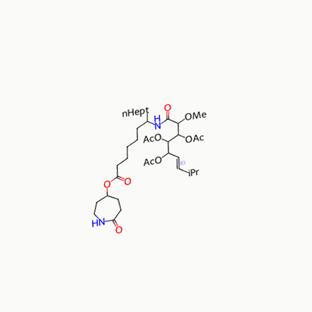 CCCCCCCC(CCCCCC(=O)OC1CCNC(=O)CC1)NC(=O)C(OC)C(OC(C)=O)C(OC(C)=O)C(/C=C/C(C)C)OC(C)=O